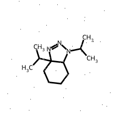 CC(C)N1N=NC2(C(C)C)CCCCC12